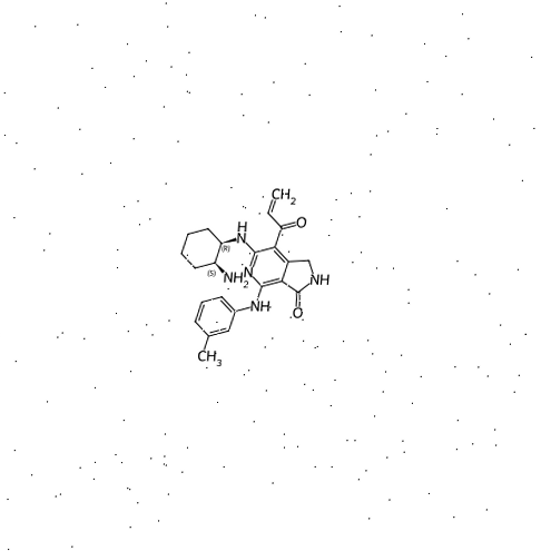 C=CC(=O)c1c(N[C@@H]2CCCC[C@@H]2N)nc(Nc2cccc(C)c2)c2c1CNC2=O